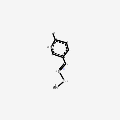 Cc1ccc(/C=N/SC(C)(C)C)cn1